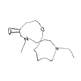 CCN1CCCC2(C1)OCCC(=O)N2C